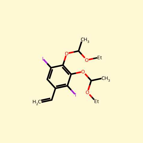 C=Cc1cc(I)c(OC(C)OCC)c(OC(C)OCC)c1I